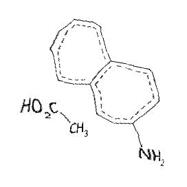 CC(=O)O.Nc1ccc2ccccc2c1